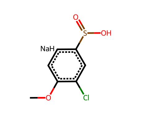 COc1ccc(S(=O)O)cc1Cl.[NaH]